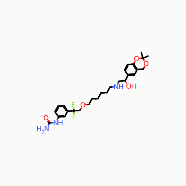 CC1(C)OCc2cc([C@@H](O)CNCCCCCCOCC(F)(F)c3cccc(NC(N)=O)c3)ccc2O1